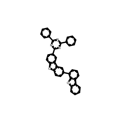 c1ccc(-c2nc(-c3ccccc3)nc(-c3ccc4oc5ccc(-c6cccc7c6oc6ccccc67)cc5c4c3)n2)cc1